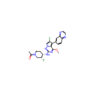 COc1nc(N[C@H]2CCN(C(C)=O)C[C@H]2F)nn2cc(F)c(-c3ccc4nccnc4c3)c12